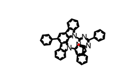 c1ccc(-c2nc(-c3ccccc3)nc(-n3c4ccccc4c4cc(-c5ccccc5)c5c6ccccc6n(-c6ccccc6)c5c43)n2)cc1